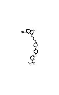 CN(C)C(=O)c1ccnc(Oc2ccc(N3CCN(CCCCc4c[nH]c5ccc(C#N)cc45)CC3)cc2)n1